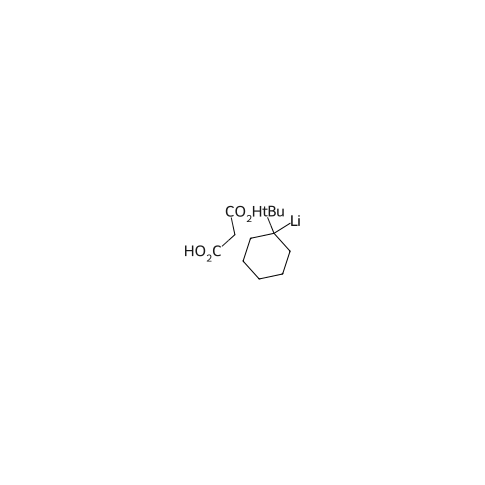 O=C(O)CC(=O)O.[Li][C]1(C(C)(C)C)CCCCC1